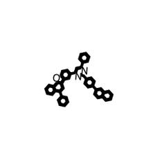 c1ccc(-c2cc(-c3ccc4oc5c6ccccc6c(-c6ccccc6)cc5c4c3)nc(-c3ccc(-c4ccc5ccccc5c4)cc3)n2)cc1